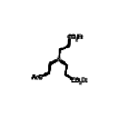 CCOC(=O)CCN(CCOC(C)=O)CCC(=O)OCC